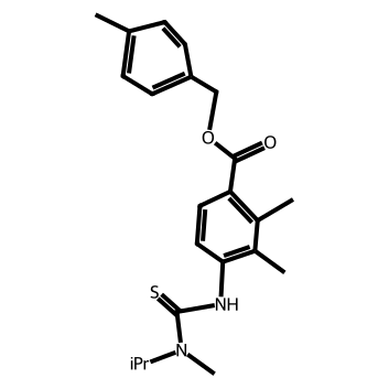 Cc1ccc(COC(=O)c2ccc(NC(=S)N(C)C(C)C)c(C)c2C)cc1